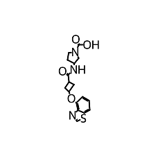 O=C(NC1CCN(C(=O)O)C1)C1CC(Oc2cccc3scnc23)C1